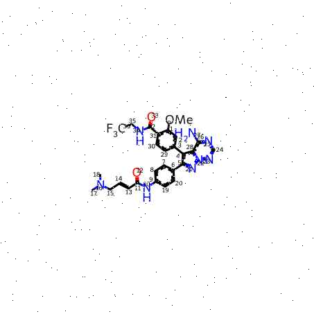 COc1cc(-c2c(-c3ccc(NC(=O)/C=C/CN(C)C)cc3)nn3ncnc(N)c23)ccc1C(=O)NCC(F)(F)F